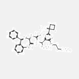 CNC(OC(=N)NC1N=C(c2ccccc2)c2ccccc2NC1=O)c1nc(C2(C(F)(F)F)CCC2)sc1NCCOC